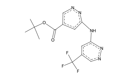 CC(C)(C)OC(=O)c1cnnc(Nc2cc(C(F)(F)F)cnn2)c1